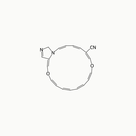 N#Cc1ccccn2c(coccccccccoc1)C=NC2